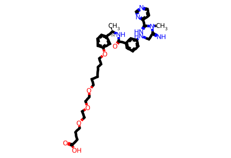 C[C@H](NC(=O)c1cccc(NCC(=N)N(C)C(=N)c2ccncn2)c1)c1cccc(OCCCCCCOCCOCCOCCCC(=O)O)c1